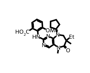 CCC1(C)CN(C2CCCC2)c2nc(Nc3c(OC)cccc3C(=O)O)ncc2N(C)C1=O